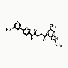 Cc1cncc(-c2ccc(NC(=O)CCC(=O)N3CC(C)Cn4nc(C)cc43)cn2)c1